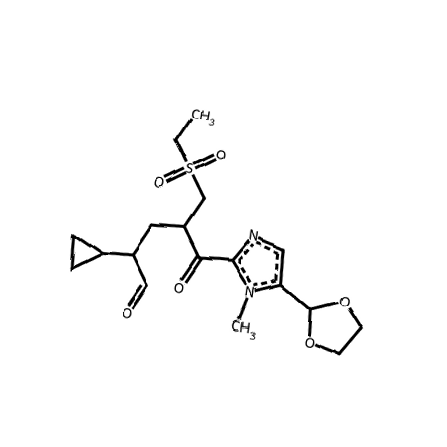 CCS(=O)(=O)CC(CC(C=O)C1CC1)C(=O)c1ncc(C2OCCO2)n1C